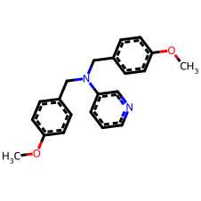 COc1ccc(CN(Cc2ccc(OC)cc2)c2cccnc2)cc1